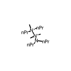 CCCN(CCC)[N+](C)(C)[N+](C)(CCC)CCC